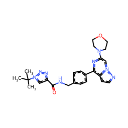 CC(C)(C)n1cc(C(=O)NCc2ccc(-c3nc(N4CCOCC4)cn4nccc34)cc2)nn1